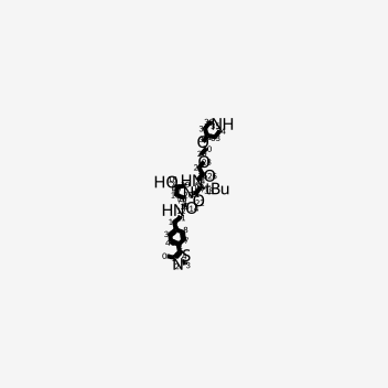 Cc1ncsc1-c1ccc(CCNC(=O)[C@@H]2C[C@H](O)CN2C(=O)[C@@H](NC(=O)COCCOC2CCNCC2)C(C)(C)C)cc1